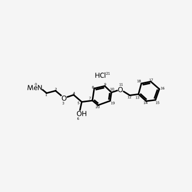 CNCCOCC(O)c1ccc(OCc2ccccc2)cc1.Cl